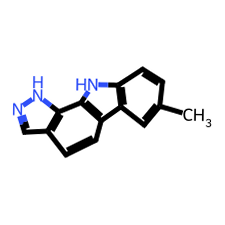 Cc1ccc2[nH]c3c(ccc4cn[nH]c43)c2c1